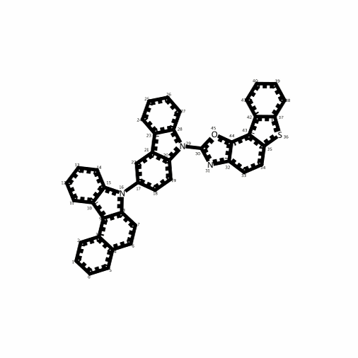 c1ccc2c(c1)ccc1c2c2ccccc2n1-c1ccc2c(c1)c1ccccc1n2-c1nc2ccc3sc4ccccc4c3c2o1